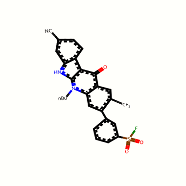 CCCCn1c2cc(-c3cccc(S(=O)(=O)F)c3)c(C(F)(F)F)cc2c(=O)c2c3ccc(C#N)cc3[nH]c21